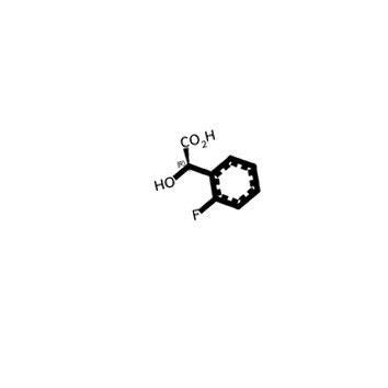 O=C(O)[C@H](O)c1ccccc1F